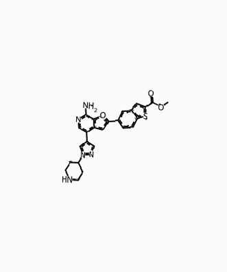 COC(=O)c1cc2cc(-c3cc4c(-c5cnn(C6CCNCC6)c5)cnc(N)c4o3)ccc2s1